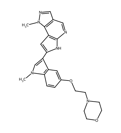 Cn1cc(-c2cc3c(ncc4cnn(C)c43)[nH]2)c2cc(OCCN3CCOCC3)ccc21